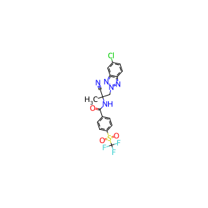 CC(C#N)(Cn1nc2ccc(Cl)cc2n1)NC(=O)c1ccc(S(=O)(=O)C(F)(F)F)cc1